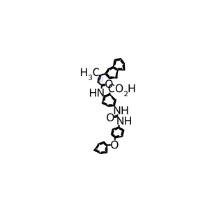 C/C(=C/C(=O)Nc1ccc(NC(=O)Nc2ccc(Oc3ccccc3)cc2)cc1C(=O)O)c1ccc2ccccc2c1